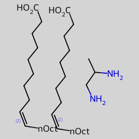 CC(N)CN.CCCCCCCC/C=C\CCCCCCCC(=O)O.CCCCCCCC/C=C\CCCCCCCC(=O)O